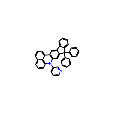 c1ccc(C2(c3ccccc3)c3ccccc3-c3cc4c(cc32)N(c2cccnc2)c2cccc3cccc-4c23)cc1